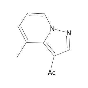 CC(=O)c1cnn2cccc(C)c12